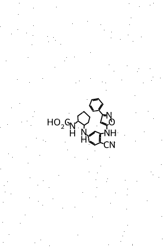 N#Cc1ccc(NC2CCCCC2NC(=O)O)cc1Nc1cc(-c2ccccc2)no1